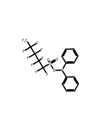 O=S(=O)(O[I+](c1ccccc1)c1ccccc1)C(F)(F)C(F)(F)C(F)(F)C(F)(F)C(F)(F)F